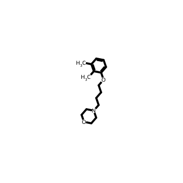 Cc1cccc(OCCCCN2CCOCC2)c1C